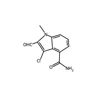 Cn1c(C=O)c(Cl)c2c(C(N)=O)[c]ccc21